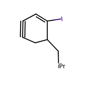 CC(C)CC1CC#CC=C1I